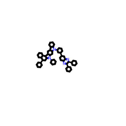 c1ccc(-c2nc3ccc(-c4cccc(-n5c6ccccc6c6cc7c8c9ccccc9c(-c9ccccc9)cc8n(-c8ccccc8)c7cc65)c4)cc3nc2-c2ccccc2)cc1